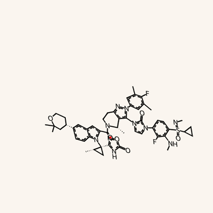 CN=S(=O)(c1ccc(-n2ccn(-c3c4c(nn3-c3cc(C)c(F)c(C)c3)CCN(C(=O)c3cc5cc([C@H]6CCOC(C)(C)C6)ccc5n3[C@@]3(c5noc(=O)[nH]5)C[C@@H]3C)[C@H]4C)c2=O)c(F)c1NC)C1CC1